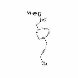 COC(=O)Cc1ccc(CC#CCO)cc1